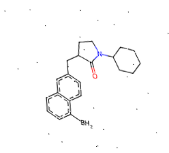 Bc1cccc2cc(CC3CCN(C4CCCCC4)C3=O)ccc12